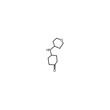 O=C1CCC(NC2CCOCC2)CC1